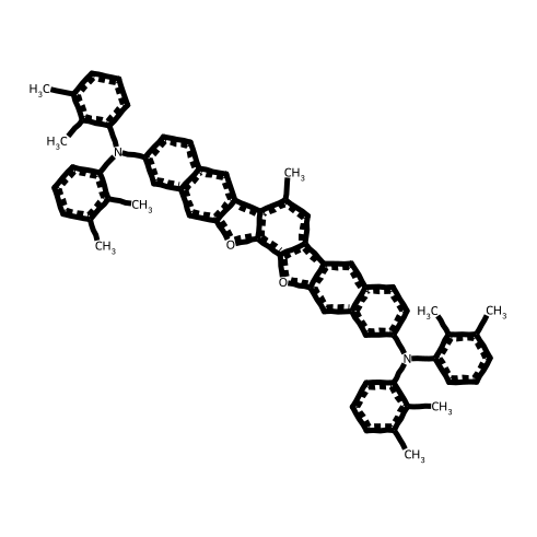 Cc1cccc(N(c2ccc3cc4c(cc3c2)oc2c4cc(C)c3c4cc5ccc(N(c6cccc(C)c6C)c6cccc(C)c6C)cc5cc4oc23)c2cccc(C)c2C)c1C